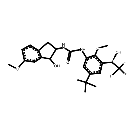 COc1ccc2c(c1)C(O)C(NC(=O)Nc1cc(C(C)(C)C)cc([C@@H](O)C(F)(F)F)c1OC)C2